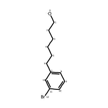 [O]CCCCCCc1cccc(Br)c1